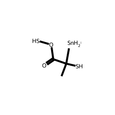 CC(C)(S)C(=O)OS.[SnH2]